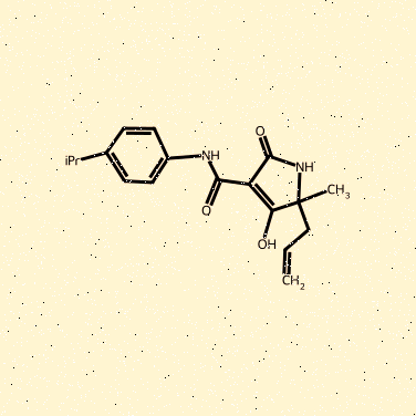 C=CCC1(C)NC(=O)C(C(=O)Nc2ccc(C(C)C)cc2)=C1O